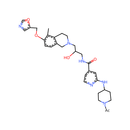 CC(=O)N1CCC(Nc2cc(C(=O)NCC(O)CN3CCc4c(ccc(OCc5cnco5)c4C)C3)ccn2)CC1